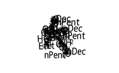 CCCCCCCCCCC[C@H](CC(=O)NC(=O)[C@@H](N)CO[C@H]1O[C@H](CO)[C@@H](OP(=O)(O)O)[C@H](OC(=O)C[C@@H](CCCCCCCCCCC)OC(=O)CCCCC)[C@H]1NC(=O)C[C@@H](CCCCCCCCCCC)OC(=O)CCCCC)OC(=O)CCCCC.CCN(CC)CC